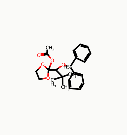 CC(=O)OC1(C(O[SiH](c2ccccc2)c2ccccc2)C(C)(C)C)OCCO1